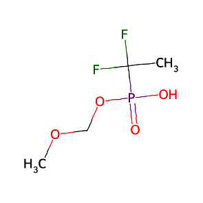 COCOP(=O)(O)C(C)(F)F